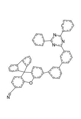 N#Cc1ccc2c(c1)Oc1cc(-c3cccc(-c4cccc(-c5nc(-c6ccccc6)nc(-c6ccccc6)n5)c4)c3)ccc1C21c2ccccc2-c2ccccc21